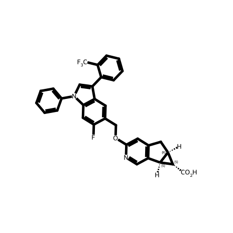 O=C(O)[C@H]1[C@@H]2Cc3cc(OCc4cc5c(-c6ccccc6C(F)(F)F)cn(-c6ccccc6)c5cc4F)ncc3[C@@H]21